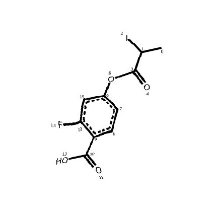 CC(I)C(=O)Oc1ccc(C(=O)O)c(F)c1